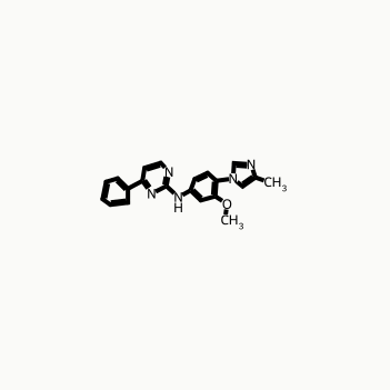 COc1cc(Nc2nccc(-c3ccccc3)n2)ccc1-n1cnc(C)c1